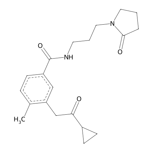 Cc1ccc(C(=O)NCCCN2CCCC2=O)cc1CC(=O)C1CC1